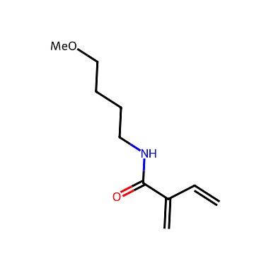 C=CC(=C)C(=O)NCCCCOC